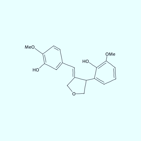 COc1ccc(/C=C2\COCC2c2cccc(OC)c2O)cc1O